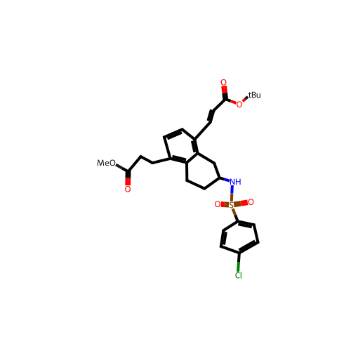 COC(=O)CCc1ccc(C=CC(=O)OC(C)(C)C)c2c1CCC(NS(=O)(=O)c1ccc(Cl)cc1)C2